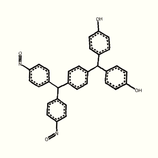 O=Nc1ccc(C(c2ccc(N=O)cc2)c2ccc(C(c3ccc(O)cc3)c3ccc(O)cc3)cc2)cc1